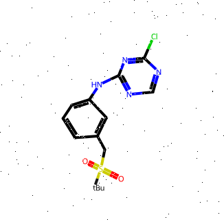 CC(C)(C)S(=O)(=O)Cc1cccc(Nc2ncnc(Cl)n2)c1